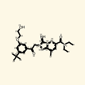 CCN(CC)C(=O)c1cc(C)c2nn(CC(=O)c3cc(OCCO)cc(C(C)(C)C)c3)c(=N)n2n1